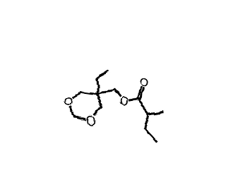 CCC(C)C(=O)OCC1(CC)COCOC1